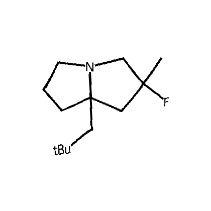 CC(C)(C)CC12CCCN1CC(C)(F)C2